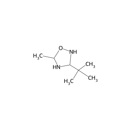 CC1NC(C(C)(C)C)NO1